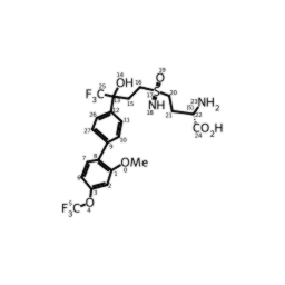 COc1cc(OC(F)(F)F)ccc1-c1ccc(C(O)(CCS(=N)(=O)CC[C@H](N)C(=O)O)C(F)(F)F)cc1